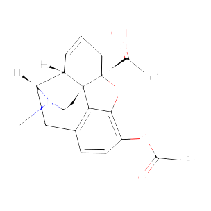 CCCC(=O)Oc1ccc2c3c1O[C@@]1(C(=O)CCC)[C@@H](O)C=C[C@H]4[C@@H](C2)N(C)CC[C@@]341